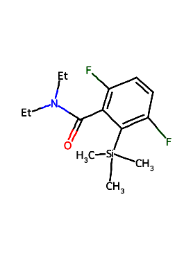 CCN(CC)C(=O)c1c(F)ccc(F)c1[Si](C)(C)C